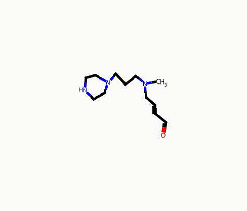 CN(CC=CC=O)CCCN1CCNCC1